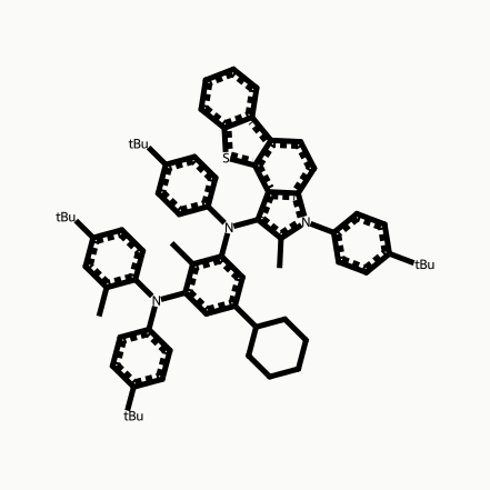 Cc1cc(C(C)(C)C)ccc1N(c1ccc(C(C)(C)C)cc1)c1cc(C2CCCCC2)cc(N(c2ccc(C(C)(C)C)cc2)c2c(C)n(-c3ccc(C(C)(C)C)cc3)c3ccc4c5ccccc5sc4c23)c1C